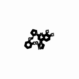 O=C(O)C1CCCCC1OC[C@@H]1CCCN1c1cc(-n2ccnc2)c2ccc(Cl)c(Cl)c2n1